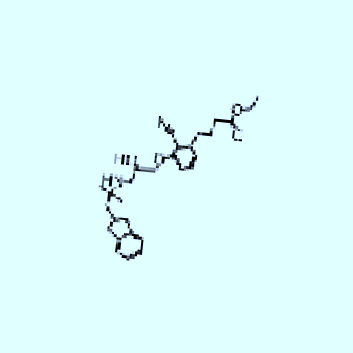 CCOC(=O)CCCc1cccc(OC[C@H](O)CNC(C)(C)CC2Cc3ccccc3C2)c1C#N